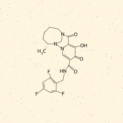 C[C@@H]1CCCCN2CN1n1cc(C(=O)NCc3c(F)cc(F)cc3F)c(=O)c(O)c1C2=O